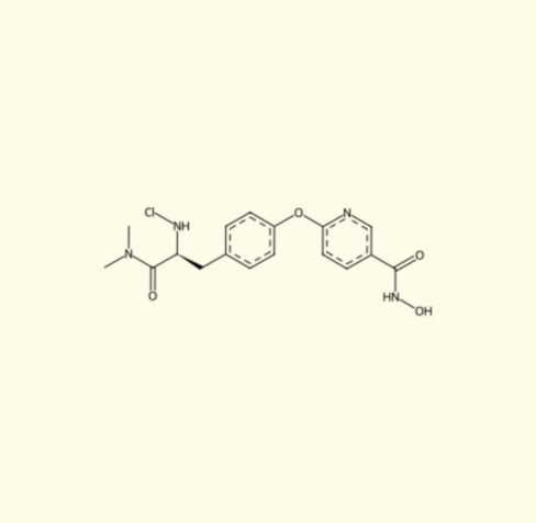 CN(C)C(=O)[C@H](Cc1ccc(Oc2ccc(C(=O)NO)cn2)cc1)NCl